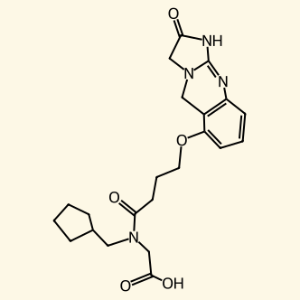 O=C(O)CN(CC1CCCC1)C(=O)CCCOc1cccc2c1CN1CC(=O)NC1=N2